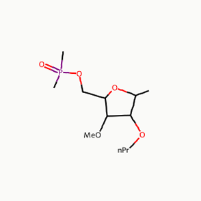 CCCOC1C(C)OC(COP(C)(C)=O)C1OC